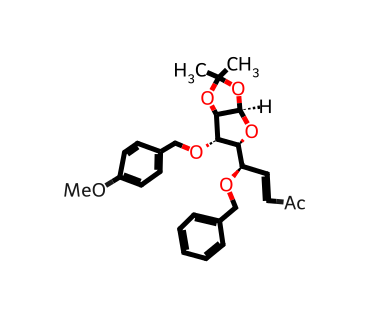 COc1ccc(CO[C@@H]2C3OC(C)(C)O[C@H]3O[C@@H]2[C@@H](/C=C/C(C)=O)OCc2ccccc2)cc1